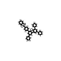 c1ccc(-c2cc(-c3ccccc3)c3oc4c(-c5ccc(-c6nc7ccccc7o6)cc5)cc(-c5ccccc5)cc4c3c2)cc1